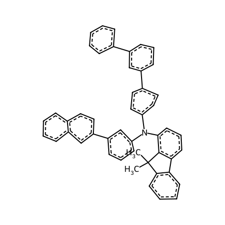 CC1(C)c2ccccc2-c2cccc(N(c3ccc(-c4cccc(-c5ccccc5)c4)cc3)c3cccc(-c4ccc5ccccc5c4)c3)c21